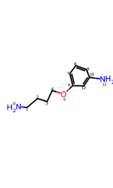 NCCCCOc1cccc(N)c1